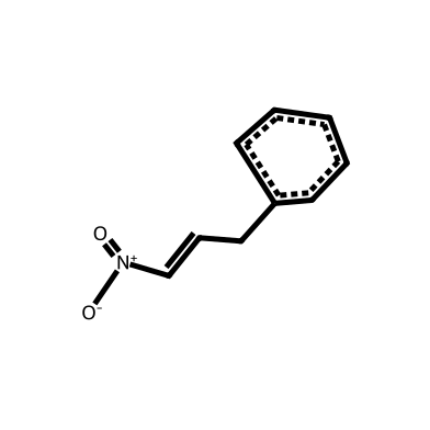 O=[N+]([O-])C=CCc1ccccc1